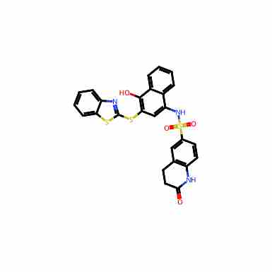 O=C1CCc2cc(S(=O)(=O)Nc3cc(Sc4nc5ccccc5s4)c(O)c4ccccc34)ccc2N1